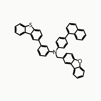 c1cc(-c2ccc3sc4ccccc4c3c2)cc(N(Cc2ccc3oc4ccccc4c3c2)c2ccc(-c3cccc4ccccc34)cc2)c1